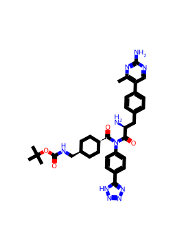 Cc1nc(N)ncc1-c1ccc(C[C@H](N)C(=O)N(c2ccc(-c3nnn[nH]3)cc2)C(=O)[C@H]2CC[C@H](CNC(=O)OC(C)(C)C)CC2)cc1